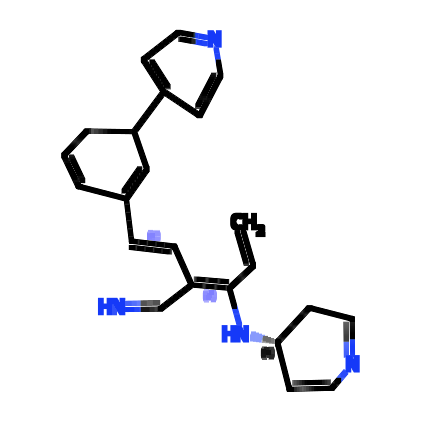 C=C/C(N[C@H]1C=CN=CC1)=C(C=N)\C=C\C1=CC(c2ccncc2)CC=C1